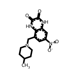 CC1CCN(Cc2cc([N+](=O)[O-])cc3[nH]c(=O)c(=O)[nH]c23)CC1